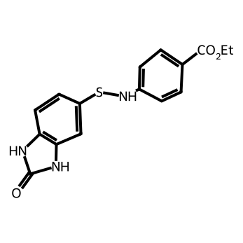 CCOC(=O)c1ccc(NSc2ccc3[nH]c(=O)[nH]c3c2)cc1